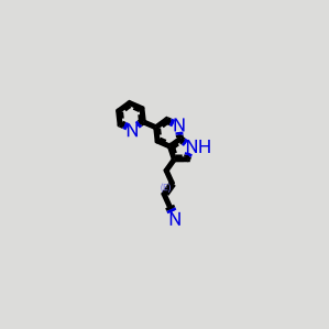 N#C/C=C/Cc1c[nH]c2ncc(-c3ccccn3)cc12